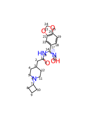 O=C(CC1CCN(C2CCC2)CC1)N/C(=N\O)c1ccc2c(c1)OCO2